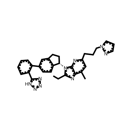 CCc1nc2c(C)cc(CCCn3cccn3)nc2n1[C@H]1CCc2cc(-c3ccccc3-c3nnn[nH]3)ccc21